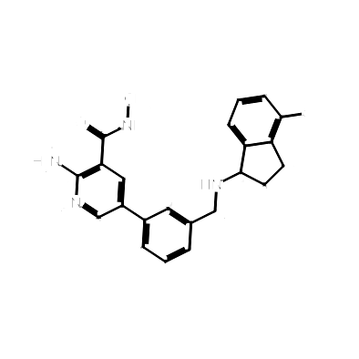 CNC(=O)c1cc(-c2cccc(CNC3CCc4c(Cl)cccc43)c2)cnc1N